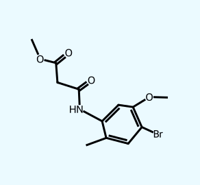 COC(=O)CC(=O)Nc1cc(OC)c(Br)cc1C